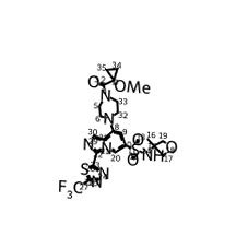 COC1(C(=O)N2CCN(c3cc(S(=O)(=O)NC4(C)COC4)cn4c(-c5nnc(C(F)(F)F)s5)ncc34)CC2)CC1